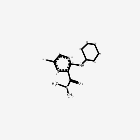 CN(C)C(=O)c1nc(I)cnc1NC1CCCCC1